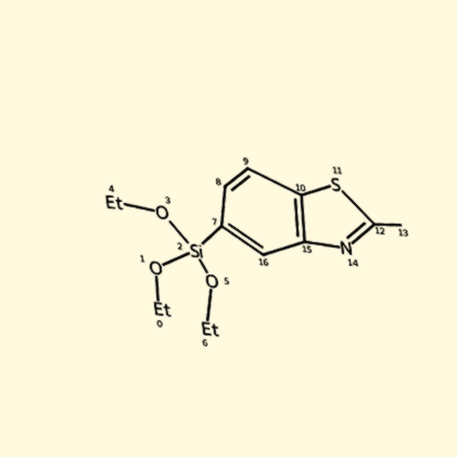 CCO[Si](OCC)(OCC)c1ccc2sc(C)nc2c1